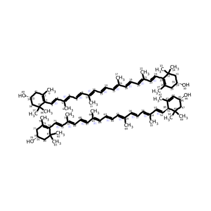 CC1=C(/C=C/C(C)=C/C=C/C(C)=C/C=C/C=C(C)/C=C/C=C(C)/C=C/C2=C(C)C[C@@H](O)CC2(C)C)C(C)(C)C[C@H](O)C1.CC1=C[C@H](O)CC(C)(C)[C@H]1/C=C/C(C)=C/C=C/C(C)=C/C=C/C=C(C)/C=C/C=C(C)/C=C/C1=C(C)C[C@@H](O)CC1(C)C